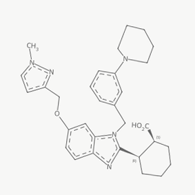 Cn1ccc(COc2ccc3nc([C@@H]4CCCC[C@@H]4C(=O)O)n(Cc4cccc(N5CCCCC5)c4)c3c2)n1